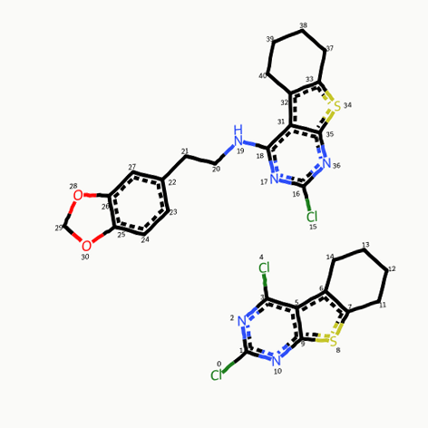 Clc1nc(Cl)c2c3c(sc2n1)CCCC3.Clc1nc(NCCc2ccc3c(c2)OCO3)c2c3c(sc2n1)CCCC3